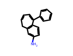 Nc1ccc2c(c1)CC=CC=C2c1ccccc1